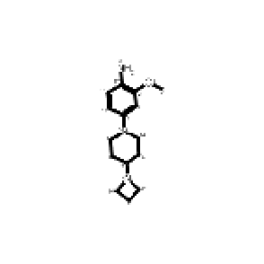 COc1cc(N2CCC(N3CCC3)CC2)ccc1N